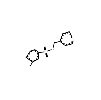 Nc1cccc(S(=O)(=O)NCc2ccncc2)c1